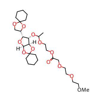 COCCOCCOCC(=O)OCCOC(C)O[C@@H]1[C@H]2OC3(CCCCC3)O[C@H]2O[C@@H]1C1COC2(CCCCC2)O1